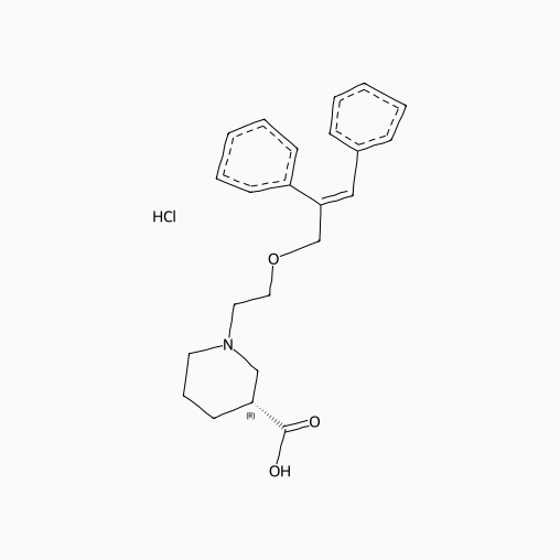 Cl.O=C(O)[C@@H]1CCCN(CCOCC(=Cc2ccccc2)c2ccccc2)C1